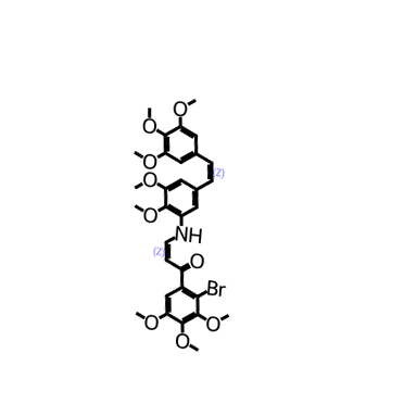 COc1cc(/C=C\c2cc(OC)c(OC)c(OC)c2)cc(N/C=C\C(=O)c2cc(OC)c(OC)c(OC)c2Br)c1OC